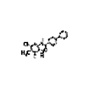 Cc1c(Cl)cc(NC(=O)c2ccc(-c3ccccc3)cc2)c(O)c1Cl